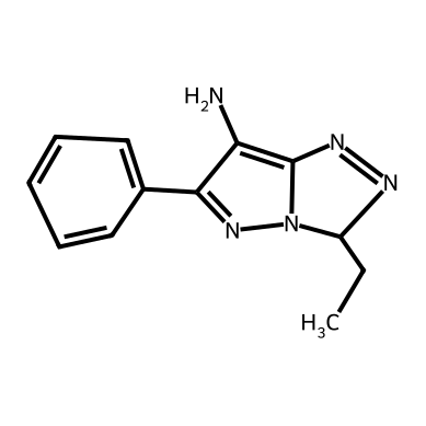 CCC1N=Nc2c(N)c(-c3ccccc3)nn21